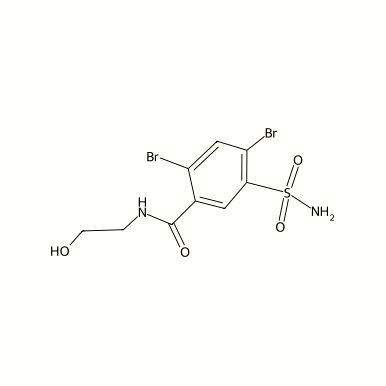 NS(=O)(=O)c1cc(C(=O)NCCO)c(Br)cc1Br